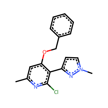 Cc1cc(OCc2ccccc2)c(-c2ccn(C)n2)c(Cl)n1